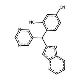 N#Cc1ccc(C(c2cncnc2)c2cc3ccccc3o2)c(C#N)c1